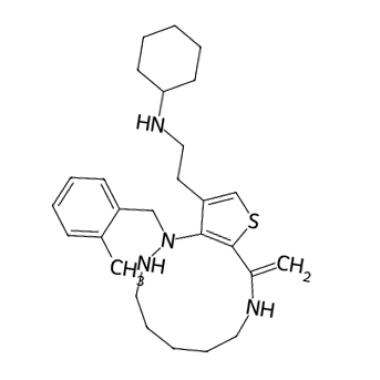 C=C1NCCCCCNN(Cc2ccccc2C)c2c(CCNC3CCCCC3)csc21